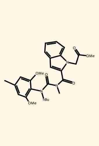 CCCCN(C(=O)N(C)C(=O)c1cc2ccccc2n1CC(=O)OC)c1c(OC)cc(C)cc1OC